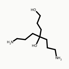 NCCCC(O)(CCCN)CCCO